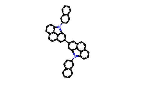 c1ccc2cc(-n3c4cccc5ccc6cc(-c7cc8ccc9cccc%10c9c8c(c7)n%10-c7ccc8ccccc8c7)cc3c6c54)ccc2c1